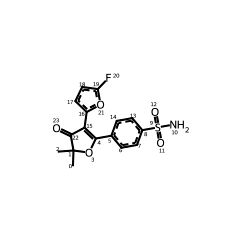 CC1(C)OC(c2ccc(S(N)(=O)=O)cc2)=C(c2ccc(F)o2)C1=O